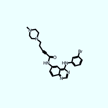 CN1CCN(CCC#CC(=O)Nc2ccc3ncnc(Nc4cccc(Br)c4)c3c2)CC1